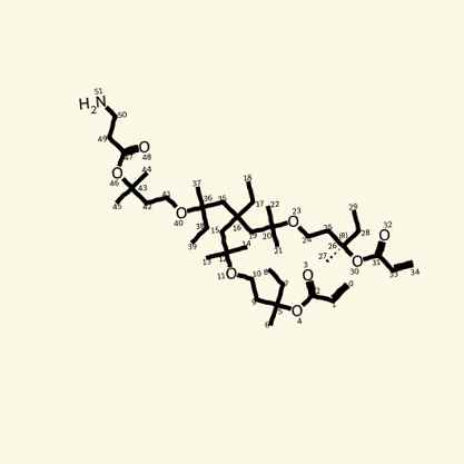 C=CC(=O)OC(C)(CC)CCOC(C)(C)CC(CC)(CC(C)(C)OCC[C@@](C)(CC)OC(=O)C=C)CC(C)(CC)OCCC(C)(C)OC(=O)CCN